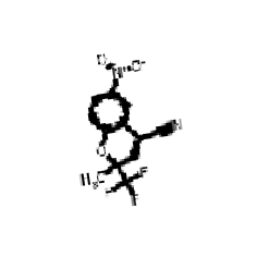 CC1(C(F)(F)F)C=C(C#N)c2cc([N+](=O)[O-])ccc2O1